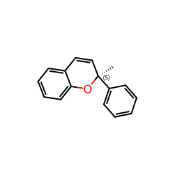 C[C@@]1(c2ccccc2)C=Cc2ccccc2O1